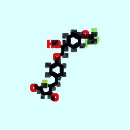 O=C1CC(=O)C(Cc2ccc(OC[C@@H](O)c3ccc(OC(F)(F)F)cc3)cc2)S1